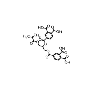 C=C(C)C(=O)OCC(COC(=O)c1ccc(C(=O)O)c(C(=O)O)c1)OC(=O)c1ccc(C(=O)O)c(C(=O)O)c1